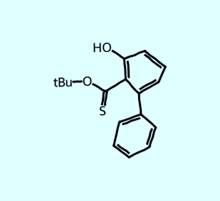 CC(C)(C)OC(=S)c1c(O)cccc1-c1ccccc1